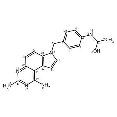 CC(O)Nc1ccc(Cn2ccc3c4c(N)nc(N)nc4ccc32)cc1